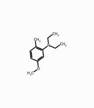 CCN(CC)c1cc(OC)ccc1C